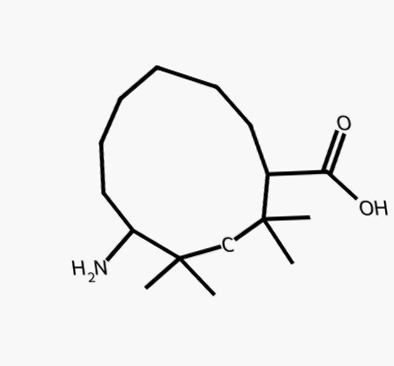 CC1(C)CC(C)(C)C(C(=O)O)CCCCCCC1N